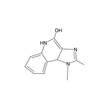 CC1=NC2=C(O)Nc3ccccc3C2N1C